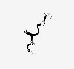 COCCC(=O)NCN